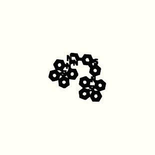 c1ccc([Si]2(c3ccccc3)c3ccccc3N(c3ccc4sc5ccc(-c6ccnc(N7c8ccccc8[Si](c8ccccc8)(c8ccccc8)c8ccccc87)n6)cc5c4c3)c3ccccc32)cc1